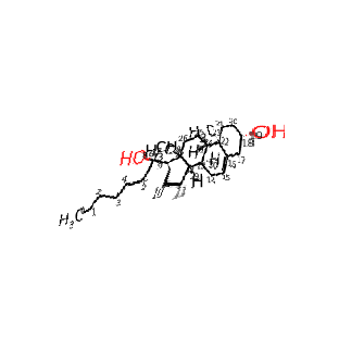 CCCCCC[C@](C)(O)[C@@H]1CC[C@H]2[C@@H]3CC=C4C[C@@H](O)CC[C@]4(C)[C@H]3CC[C@@]12C